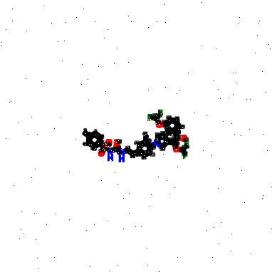 Cc1ccc(S(=O)(=O)NC(=O)NCCc2ccc(N3C=C4C(=C(OC(F)F)C(=O)c5cccc(OC(F)F)c54)C3)c(C)c2)cc1